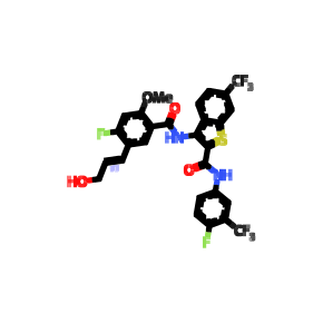 COc1cc(F)c(/C=C/CO)cc1C(=O)Nc1c(C(=O)Nc2ccc(F)c(C(F)(F)F)c2)sc2cc(C(F)(F)F)ccc12